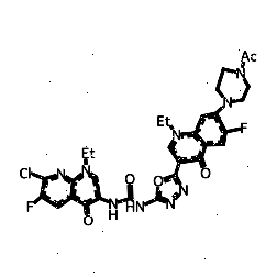 CCn1cc(-c2nnc(NC(=O)Nc3cn(CC)c4nc(Cl)c(F)cc4c3=O)o2)c(=O)c2cc(F)c(N3CCN(C(C)=O)CC3)cc21